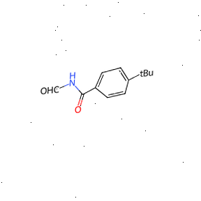 CC(C)(C)c1ccc(C(=O)NC=O)cc1